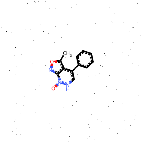 Cc1onc2c1c(-c1ccccc1)c[nH][n+]2=O